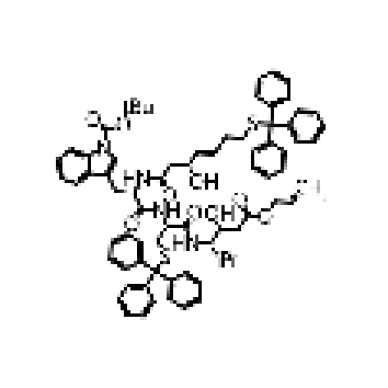 C=CCOC(=O)C[C@H](O)[C@H](NC(=O)[C@@H](CSC(c1ccccc1)(c1ccccc1)c1ccccc1)NC(=O)[C@@H](Cc1cn(C(=O)OC(C)(C)C)c2ccccc12)NC(=O)C[C@H](O)/C=C/CCSC(c1ccccc1)(c1ccccc1)c1ccccc1)C(C)C